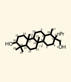 CCCC1(CO)CC[C@]2(C)C(CCC3C4(C)CCC(O)C(C)(C)C4CCC32C)C1C